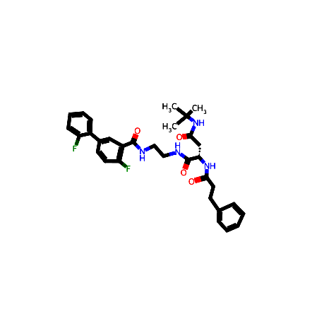 CC(C)(C)NC(=O)C[C@H](NC(=O)CCc1ccccc1)C(=O)NCCNC(=O)c1cc(-c2ccccc2F)ccc1F